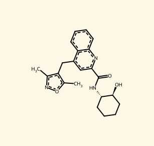 Cc1noc(C)c1Cc1cc(C(=O)N[C@H]2CCCC[C@@H]2O)nc2ccccc12